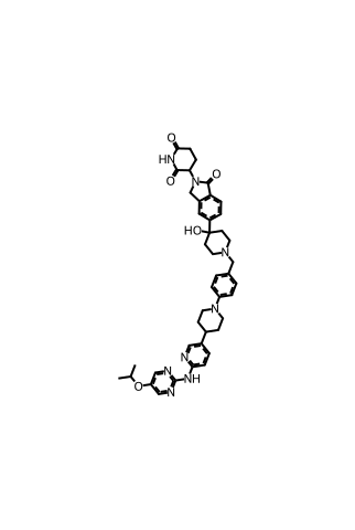 CC(C)Oc1cnc(Nc2ccc(C3CCN(c4ccc(CN5CCC(O)(c6ccc7c(c6)CN(C6CCC(=O)NC6=O)C7=O)CC5)cc4)CC3)cn2)nc1